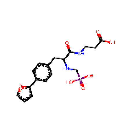 O=C(O)CCNC(=O)C(Cc1ccc(-c2ccco2)cc1)NCP(=O)(O)O